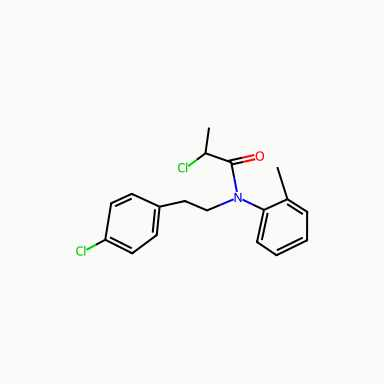 Cc1ccccc1N(CCc1ccc(Cl)cc1)C(=O)C(C)Cl